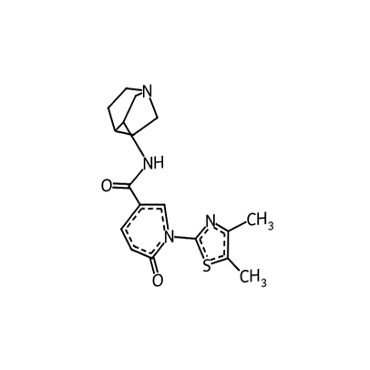 Cc1nc(-n2cc(C(=O)NC3CN4CCC3CC4)ccc2=O)sc1C